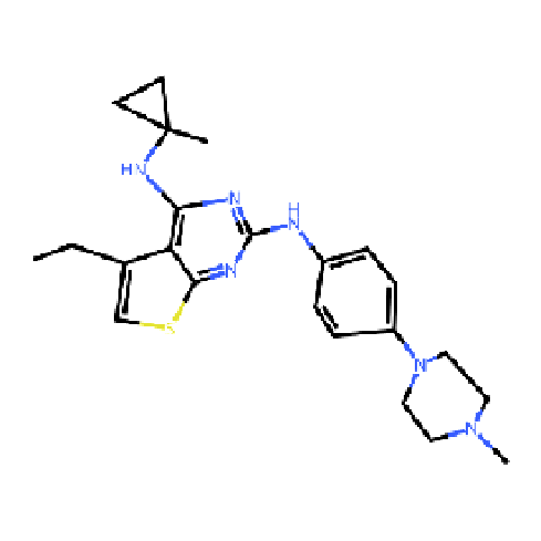 CCc1csc2nc(Nc3ccc(N4CCN(C)CC4)cc3)nc(NC3(C)CC3)c12